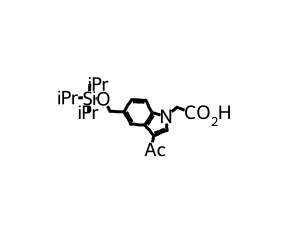 CC(=O)c1cn(CC(=O)O)c2ccc(CO[Si](C(C)C)(C(C)C)C(C)C)cc12